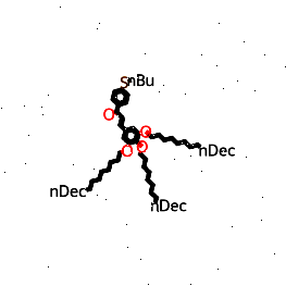 CCCCCCCCCCCCCCCCCCOc1cc(C=CC(=O)c2ccc(SCCCC)cc2)cc(OCCCCCCCCCCCCCCCCCC)c1OCCCCCCCCCCCCCCCCCC